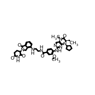 CC[C@@H]1C(=O)N(C)c2cnc(Nc3ccc(C(=O)NCCNc4cccc5c4CN(C4CCC(=O)NC4=O)C5=O)cc3OC)nc2N1C1CCCC1